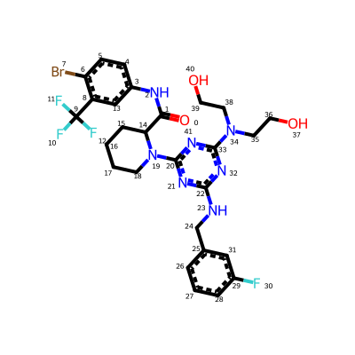 O=C(Nc1ccc(Br)c(C(F)(F)F)c1)C1CCCCN1c1nc(NCc2cccc(F)c2)nc(N(CCO)CCO)n1